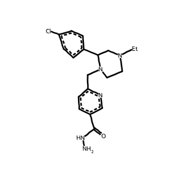 CCN1CCN(Cc2ccc(C(=O)NN)cn2)C(c2ccc(Cl)cc2)C1